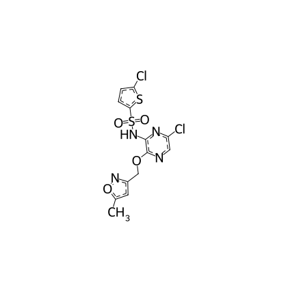 Cc1cc(COc2ncc(Cl)nc2NS(=O)(=O)c2ccc(Cl)s2)no1